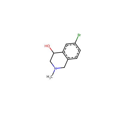 CN1Cc2ccc(Br)cc2C(O)C1